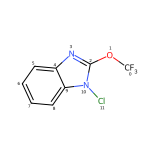 FC(F)(F)Oc1nc2ccccc2n1Cl